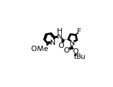 COc1cccc(NC(=O)[C@@H]2C[C@@H](F)CN2C(=O)OC(C)(C)C)n1